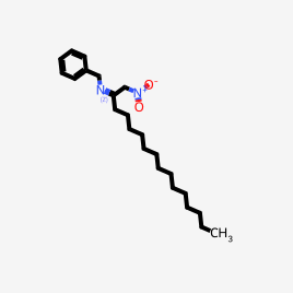 CCCCCCCCCCCCCC/C(C[N+](=O)[O-])=N/Cc1ccccc1